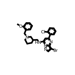 COc1ccccc1CN1CCCC(CNc2cc(-c3ccccc3Cl)nc3c(Br)cnn23)C1